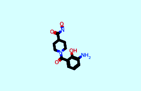 Nc1cccc(C(=O)N2CCC(C(=O)N=O)CC2)c1O